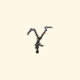 CCCCC/C=C\C/C=C\CCCCCCCCOCC(COC(=O)CC1CCC(OC(=O)CCCN(C)C)C1CCCCC)OCCCCCCCC/C=C\C/C=C\CCCCC